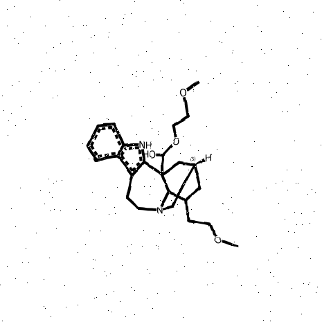 COCCOC(O)C12C[C@@H]3CC(CCOC)C1N(CCc1c2[nH]c2ccccc12)C3